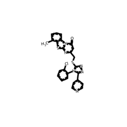 Cc1cccc2c1sc1nc(CSc3nnc(-c4ccncc4)n3-c3ccccc3Cl)cc(=O)n12